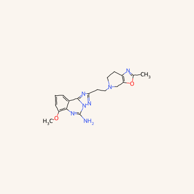 COc1cccc2c1nc(N)n1nc(CCN3CCc4nc(C)oc4C3)nc21